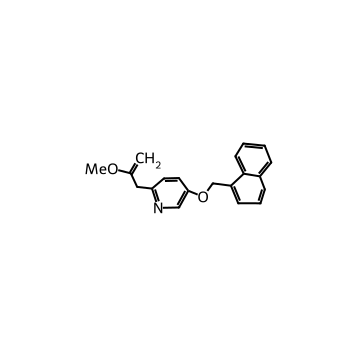 C=C(Cc1ccc(OCc2cccc3ccccc23)cn1)OC